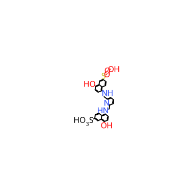 O=S(=O)(O)c1ccc2c(NCc3cccc(CNc4ccc(O)c5cc(SOOO)ccc45)n3)ccc(O)c2c1